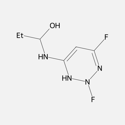 CCC(O)NC1=CC(F)=NN(F)N1